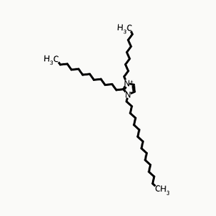 CCCCCCCCCCCCCCCCn1cc[n+](CCCCCCCCC)c1CCCCCCCCCCCC